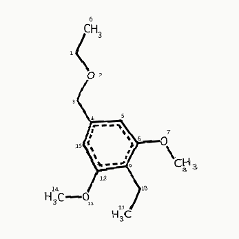 CCOCc1cc(OC)c(CC)c(OC)c1